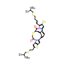 CCCCC(CC)CSCC/C=C/c1c(S)cc2n1C(=O)C1/C=C(/C)C/C(=C\C=C\2)c2cc3sc(CCSCC(CC)CCCC)cc3n2C(=O)CS1